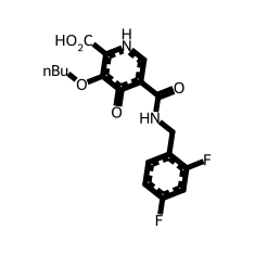 CCCCOc1c(C(=O)O)[nH]cc(C(=O)NCc2ccc(F)cc2F)c1=O